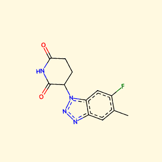 Cc1cc2nnn(C3CCC(=O)NC3=O)c2cc1F